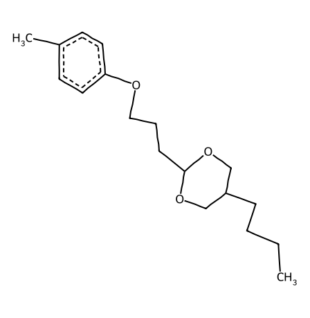 CCCCC1COC(CCCOc2ccc(C)cc2)OC1